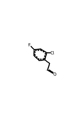 O=[C]Cc1ccc(F)cc1Cl